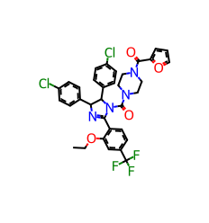 CCOc1cc(C(F)(F)F)ccc1C1=NC(c2ccc(Cl)cc2)C(c2ccc(Cl)cc2)N1C(=O)N1CCN(C(=O)c2ccco2)CC1